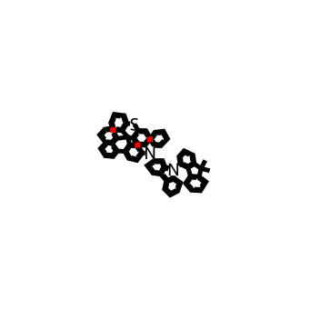 CC1(C)c2ccccc2-c2c(-n3c4ccccc4c4ccc(N(c5ccccc5)c5ccc6c(c5)C5(c7ccccc7Sc7ccccc75)c5cccc7cccc-6c57)cc43)cccc21